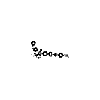 Nc1ccc(N2CC(N3CCC(N4CCC(n5c(=O)n(-c6ccc(Oc7ccccc7)cc6)c6c(N)ncnc65)CC4)CC3)C2)cc1